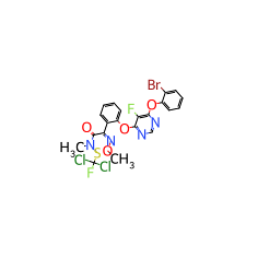 CON=C(C(=O)N(C)SC(F)(Cl)Cl)c1ccccc1Oc1ncnc(Oc2ccccc2Br)c1F